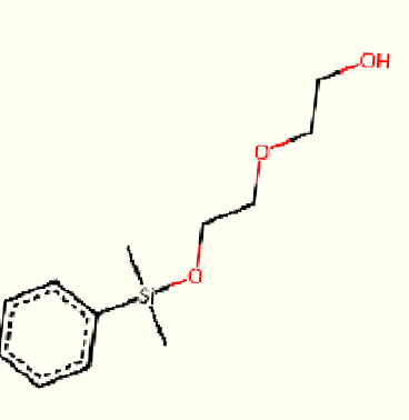 C[Si](C)(OCCOCCO)c1ccccc1